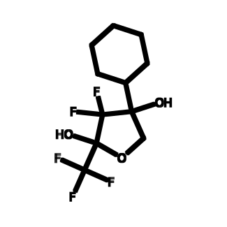 OC1(C2CCCCC2)COC(O)(C(F)(F)F)C1(F)F